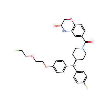 O=C1COc2ccc(C(=O)N3CCC([C@@H](c4ccc(F)cc4)c4ccc(OCCOCCF)cc4)CC3)cc2N1